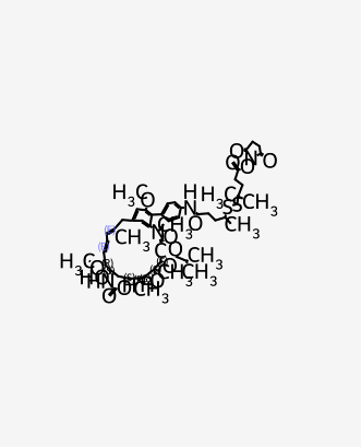 COc1cc2cc(c1-c1ccc(NC(=O)CCC(C)SSC(C)(C)CCC(=O)ON3C(=O)CCC3=O)cc1)N(C)C(=O)C[C@H](OC(=O)C(C)C)[C@]1(C)O[C@H]1[C@H](C)[C@@H]1C[C@@](O)(NC(=O)O1)[C@H](OC)/C=C/C=C(\C)C2